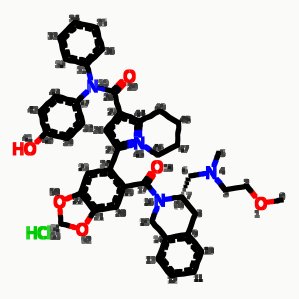 COCCN(C)C[C@@H]1Cc2ccccc2CN1C(=O)c1cc2c(cc1-c1cc(C(=O)N(c3ccccc3)c3ccc(O)cc3)c3n1CCCC3)OCO2.Cl